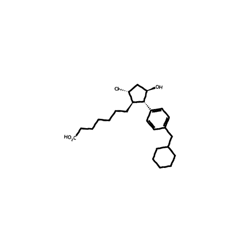 O=C(O)CCCCCC[C@@H]1[C@@H](c2ccc(CC3CCCCC3)cc2)[C@H](O)C[C@H]1Cl